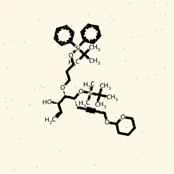 C=C[C@@H](O)[C@H](OCCCO[Si](c1ccccc1)(c1ccccc1)C(C)(C)C)[C@@H](CC#CCOC1CCCCO1)O[Si](C)(C)C(C)(C)C